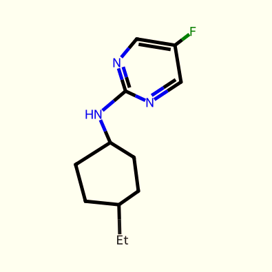 CCC1CCC(Nc2ncc(F)cn2)CC1